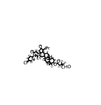 CCn1c(C23CCC4C(CC[C@H]5C4(C)CC[C@H]4C(C)(C)C(OC(=O)CC(C)(C)C=O)CCC45C)C2=C(C(C)C)C(=O)C3)cc(=O)n1-c1ccc(Cl)cn1